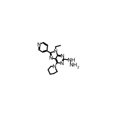 CCn1c(-c2ccncc2)nc2c(N3CCCCC3)nc(NN)nc21